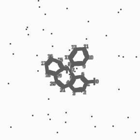 Ic1ccc2c(c1)N(c1ccccc1)c1ccccc1C=C2